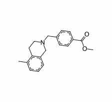 COC(=O)c1ccc(CN2CCc3c(C)cccc3C2)cc1